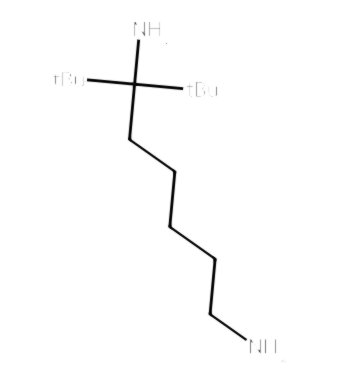 CC(C)(C)C(N)(CCCCCN)C(C)(C)C